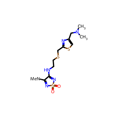 CNC1=NS(=O)(=O)N=C1NCCSCc1nc(CN(C)C)cs1